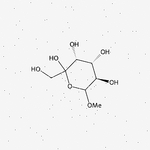 COC1OC(O)(CO)[C@H](O)[C@H](O)[C@H]1O